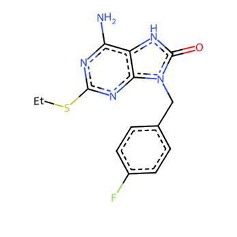 CCSc1nc(N)c2[nH]c(=O)n(Cc3ccc(F)cc3)c2n1